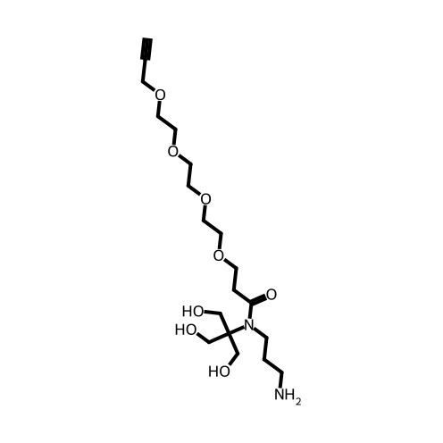 C#CCOCCOCCOCCOCCC(=O)N(CCCN)C(CO)(CO)CO